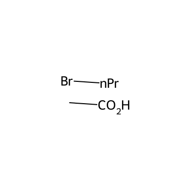 CC(=O)O.CCCBr